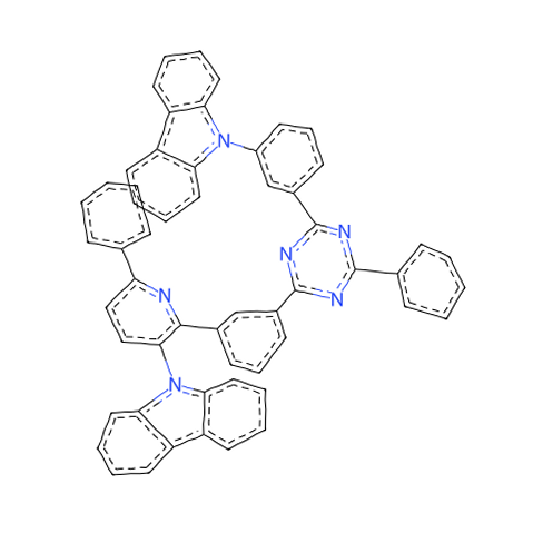 c1ccc(-c2ccc(-n3c4ccccc4c4ccccc43)c(-c3cccc(-c4nc(-c5ccccc5)nc(-c5cccc(-n6c7ccccc7c7ccccc76)c5)n4)c3)n2)cc1